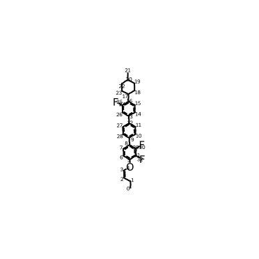 CC/C=C\Oc1ccc(-c2ccc(-c3ccc(C4CCC(C)CC4)c(F)c3)cc2)c(F)c1F